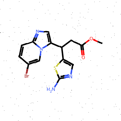 COC(=O)CC(c1cnc(N)s1)c1cnc2ccc(Br)cn12